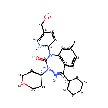 Cc1ccc2c(c1)N(c1ccc(CO)cn1)C(=O)N(C1CCOCC1)N=C2C1CCCCC1